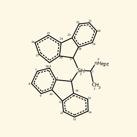 CCCCCCCC(C)[SiH](C1c2ccccc2-c2ccccc21)C1c2ccccc2-c2ccccc21